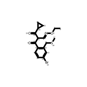 CCON=CC(C(=O)c1ccc(Br)cc1CSC)C(=O)C1CC1